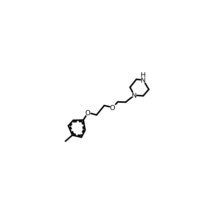 Cc1ccc(OCCOCCN2CCNCC2)cc1